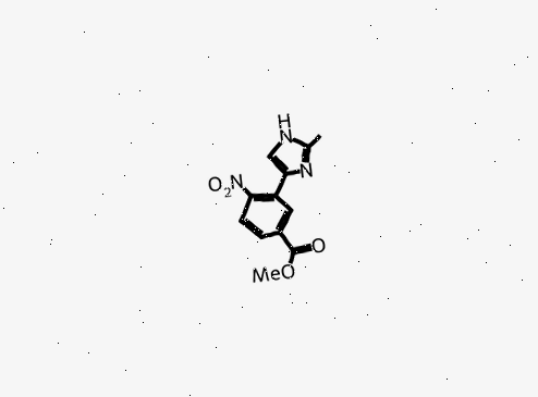 COC(=O)c1ccc([N+](=O)[O-])c(-c2c[nH]c(C)n2)c1